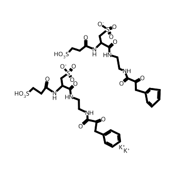 O=C(CCS(=O)(=O)O)NC(CS(=O)(=O)[O-])C(=O)NCCNC(=O)C(=O)Cc1ccccc1.O=C(CCS(=O)(=O)O)NC(CS(=O)(=O)[O-])C(=O)NCCNC(=O)C(=O)Cc1ccccc1.[K+].[K+]